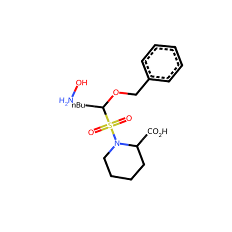 CCCCC(OCc1ccccc1)S(=O)(=O)N1CCCCC1C(=O)O.NO